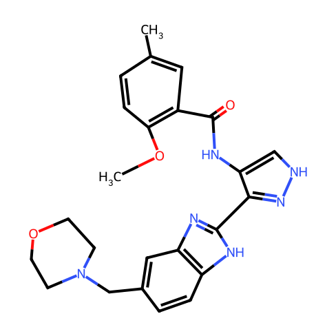 COc1ccc(C)cc1C(=O)Nc1c[nH]nc1-c1nc2cc(CN3CCOCC3)ccc2[nH]1